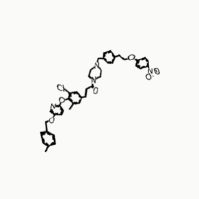 Cc1ccc(COc2ccc(Oc3c(C)cc(/C=C/C(=O)N4CCN(Cc5ccc(CCOc6ccc([N+](=O)[O-])cc6)cc5)CC4)cc3Cl)nc2)cc1